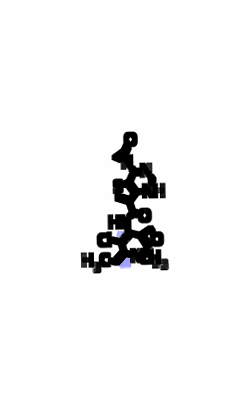 C/C=C(N)\C(Cl)=C(\NC(=O)c1csc2c1NCN=C2N1CC1=O)C1=C(C)OC1